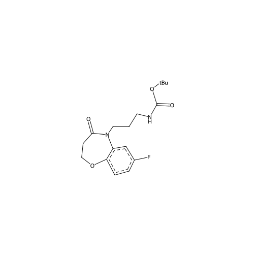 CC(C)(C)OC(=O)NCCCN1C(=O)CCOc2ccc(F)cc21